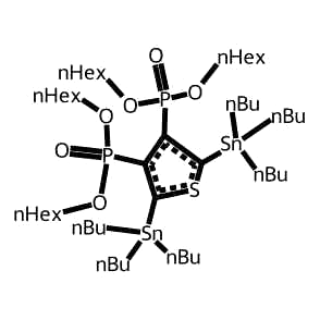 CCCCCCOP(=O)(OCCCCCC)c1[c]([Sn]([CH2]CCC)([CH2]CCC)[CH2]CCC)s[c]([Sn]([CH2]CCC)([CH2]CCC)[CH2]CCC)c1P(=O)(OCCCCCC)OCCCCCC